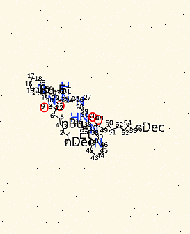 CCCCCCCCCCCCCCCCCC(=O)N(CCN1CCCCCC1)C(C(=O)NCCN(C)CCNC(=O)C(C(CC)CCCC)N(CCN1CCCCCC1)C(=O)CCCCCCCCCCCCCCCCC)C(CC)CCCC